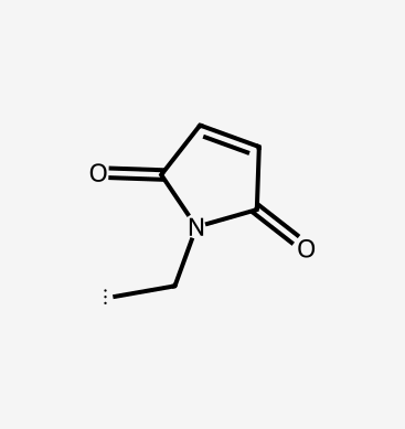 [C]CN1C(=O)C=CC1=O